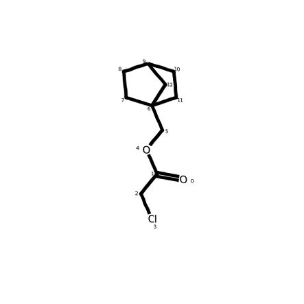 O=C(CCl)OCC12CCC(CC1)C2